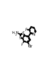 Nc1nc2c(F)c(Br)cc(-c3ncccc3F)c2s1